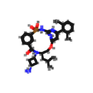 Cc1cccc(C)c1-c1cc2nc(n1)NS(=O)(=O)c1cccc(c1)C(=O)N([C@H]1C[C@@H](N)C1)[C@H](CC(C)C)CO2